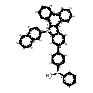 CN(c1ccccc1)c1ccc(-c2ccc3c4c5ccccc5c5ccccc5c4n(-c4ccc5ccccc5c4)c3c2)cc1